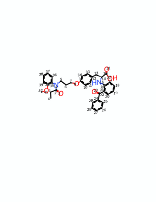 CCC(=O)N(CCCOc1ccc(C[C@H](Nc2ccccc2C(=O)c2ccccc2)C(=O)O)cc1)c1ccccc1OC